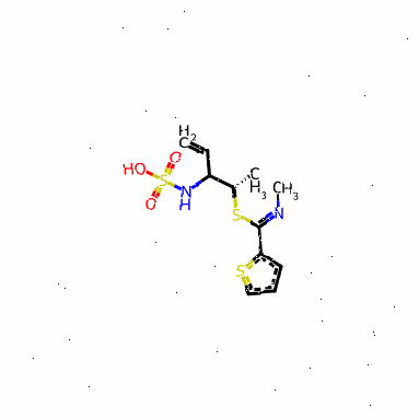 C=CC(NS(=O)(=O)O)[C@H](C)S/C(=N\C)c1cccs1